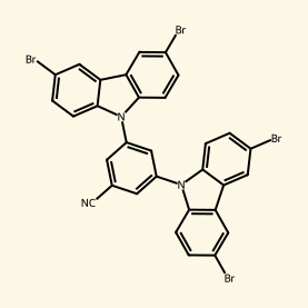 N#Cc1cc(-n2c3ccc(Br)cc3c3cc(Br)ccc32)cc(-n2c3ccc(Br)cc3c3cc(Br)ccc32)c1